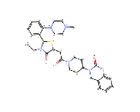 CC(C)CN1C(=O)C(CC(=O)N2CCC(N3Cc4ccccc4NC3=O)CC2)SC1c1ccccc1N1CCN(C)CC1